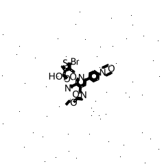 CCOc1cnc(-c2cc(-c3ccc(N4CCOCC4)cc3)nc(OCc3c(C(=O)O)csc3Br)c2C#N)o1